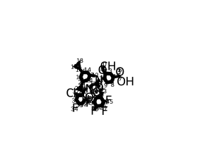 COc1cc(C(=O)O)ccc1N(Cc1cc(C2CC2)cc(C2CC2)c1)C(=O)CN(Cc1ncc(F)cc1Cl)S(=O)(=O)c1c(F)c(F)c(F)c(F)c1F